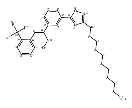 CCCCCCCCCCCc1noc(-c2cccc(C(Cc3ccccc3C(F)(F)F)[N][O])c2)n1